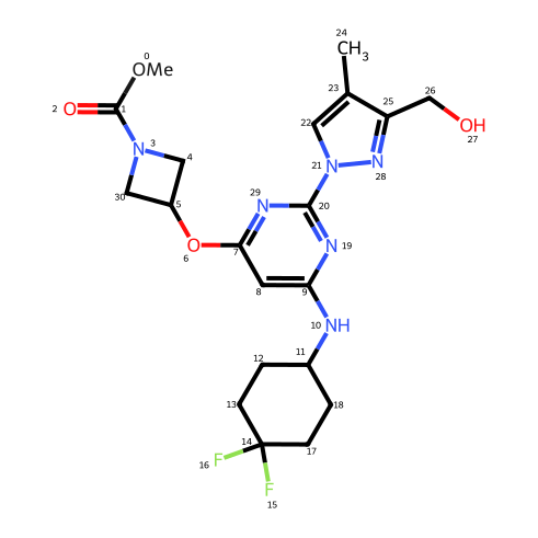 COC(=O)N1CC(Oc2cc(NC3CCC(F)(F)CC3)nc(-n3cc(C)c(CO)n3)n2)C1